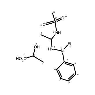 CC(O)C(=O)O.CCN(NC(C)NS(C)(=O)=O)c1ccccc1